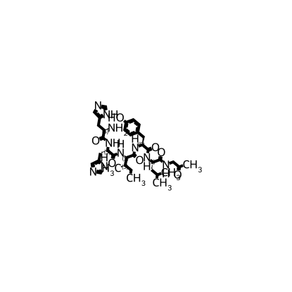 CC[C@H](C)[C@H](NC(=O)[C@H](Cc1cnc[nH]1)NC(=O)[C@@H](N)Cc1cnc[nH]1)C(=O)N[C@@H](Cc1ccc(O)cc1)C(=O)N[C@@H](CC(C)C)C(=O)NCC(C)=O